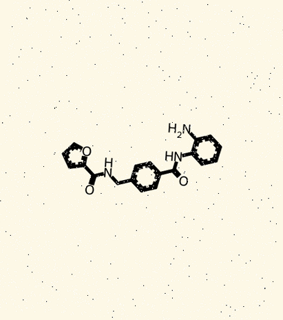 Nc1ccccc1NC(=O)c1ccc(CNC(=O)c2ccco2)cc1